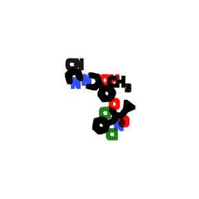 Cc1cc(OCc2c(-c3c(Cl)cccc3Cl)noc2C2CC2)ccc1C1(O)CCN(c2cc(C#N)ccn2)CC1